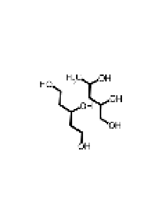 CC(O)CC(O)CO.OCCC(O)CCO